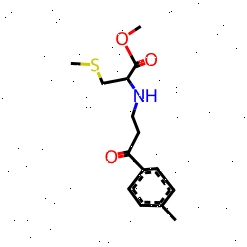 COC(=O)C(CSC)NCCC(=O)c1ccc(C)cc1